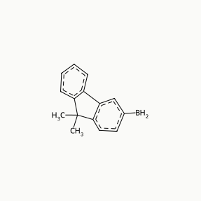 Bc1ccc2c(c1)-c1ccccc1C2(C)C